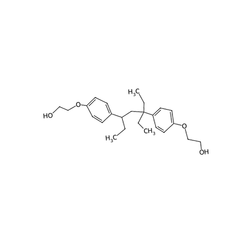 CCC(CC(CC)(CC)c1ccc(OCCO)cc1)c1ccc(OCCO)cc1